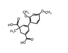 COc1ccc(C2=CC(C)(C(=O)O)CC(C(=O)O)=C2)c(OC)n1